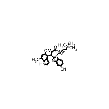 COC(=O)C=C(c1c(OC)cc(C)c2[nH]ccc12)c1nc2cc(C#N)ccc2n1COCC[Si](C)(C)C